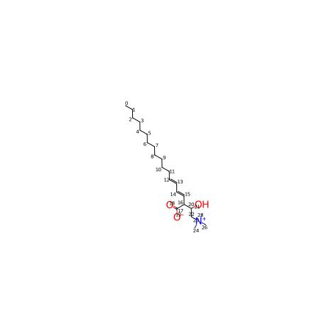 CCCCCCCCCCCCC=CC=CC(C(=O)[O-])C(O)C[N+](C)(C)C